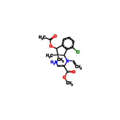 C=CN(/C(=C\N)C(=O)OC)C1c2c(Cl)cccc2C(OC(C)=O)C1(C)C